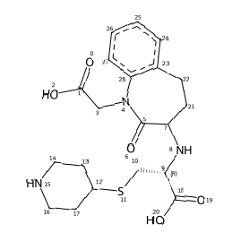 O=C(O)CN1C(=O)C(N[C@@H](CSC2CCNCC2)C(=O)O)CCc2ccccc21